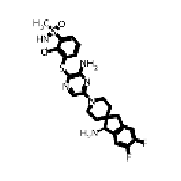 CS(=N)(=O)c1cccc(Sc2ncc(N3CCC4(CC3)Cc3cc(F)c(F)cc3[C@H]4N)nc2N)c1Cl